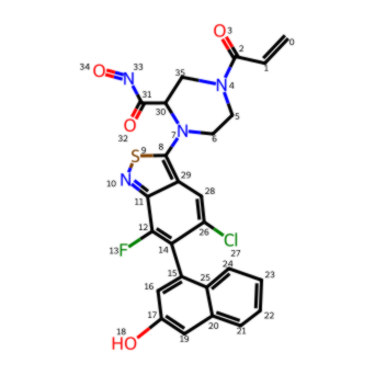 C=CC(=O)N1CCN(c2snc3c(F)c(-c4cc(O)cc5ccccc45)c(Cl)cc23)C(C(=O)N=O)C1